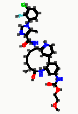 COCCOC(=O)Nc1ccc2c(c1)NC(=O)[C@H](C)CCC[C@H](NC(=O)c1ncn(-c3cccc(Cl)c3F)c1C)c1cc-2ccn1